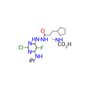 CC(C)Nc1nc(Cl)nc(NNC(=O)[C@@H](CNC(=O)O)CC2CCCC2)c1F